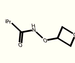 CC(C)C(=O)NOC1COC1